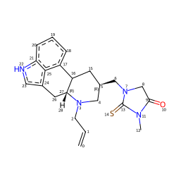 C=CCN1C[C@H](CN2CC(=O)N(C)C2=S)CC2c3cccc4[nH]cc(c34)C[C@H]21